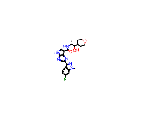 C[C@@H](NC(=O)c1c[nH]c2ncc(-c3nn(C)c4cc(F)ccc34)nc12)[C@H](O)C1CCOCC1